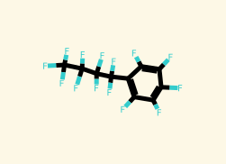 Fc1c(F)c(F)c(C(F)(F)C(F)(F)C(F)(F)C(F)(F)F)c(F)c1F